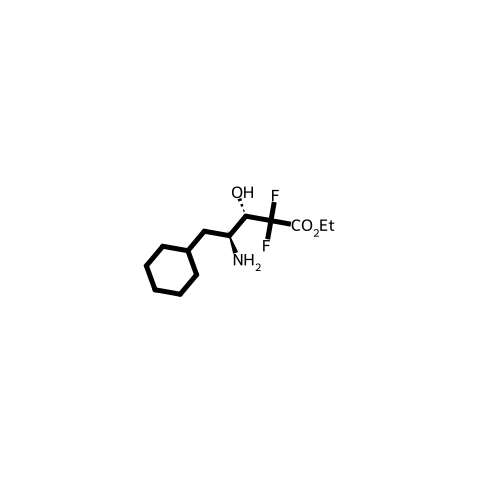 CCOC(=O)C(F)(F)[C@@H](O)[C@@H](N)CC1CCCCC1